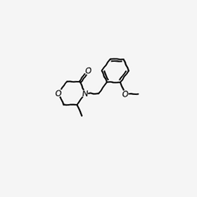 COc1ccccc1CN1C(=O)COCC1C